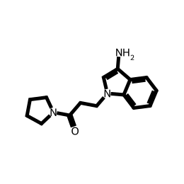 Nc1cn(CCC(=O)N2CCCC2)c2ccccc12